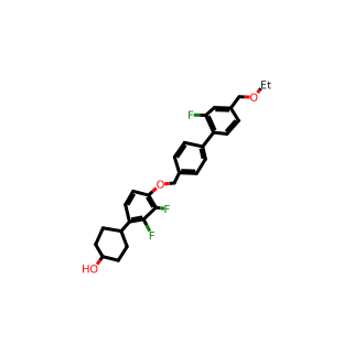 CCOCc1ccc(-c2ccc(COc3ccc(C4CCC(O)CC4)c(F)c3F)cc2)c(F)c1